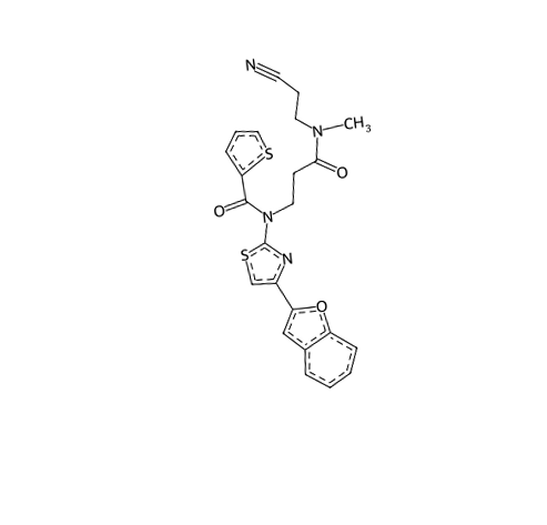 CN(CCC#N)C(=O)CCN(C(=O)c1cccs1)c1nc(-c2cc3ccccc3o2)cs1